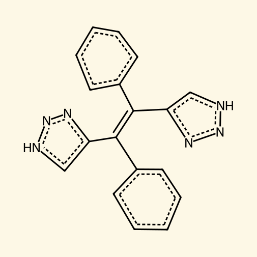 c1ccc(C(=C(c2ccccc2)c2c[nH]nn2)c2c[nH]nn2)cc1